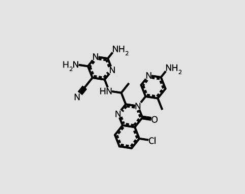 Cc1cc(N)ncc1-n1c(C(C)Nc2nc(N)nc(N)c2C#N)nc2cccc(Cl)c2c1=O